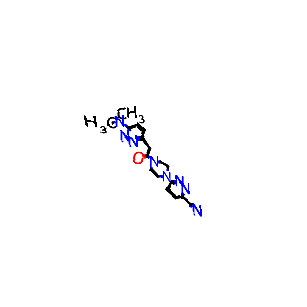 CN(C)c1ccc(CC(=O)N2CCN(c3ccc(C#N)nn3)CC2)nn1